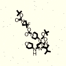 CC(C)c1cnn2c(N(C(=O)OC(C)(C)C)C3CCN(C(=O)OCC4(F)CN(C(=O)OC(C)(C)C)C4)CC3)cc(NC3CCOCC3)nc12